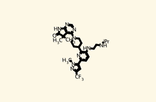 CC(C)NCCNc1ccc(-c2cc(C(F)(F)F)nn2C)nc1C1CCN(c2ncnc3c2C(C)(C)C(=O)N3)CC1